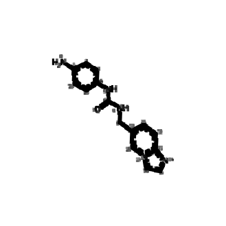 Nc1ccc(NC(=O)NCc2ccc3nccn3c2)cc1